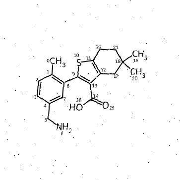 Cc1ccc(CN)cc1-c1sc2c(c1C(=O)O)CC(C)(C)CC2